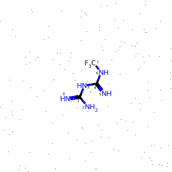 N=C(N)NC(=N)NC(F)(F)F